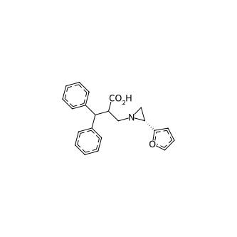 O=C(O)C(CN1C[C@@H]1c1ccco1)C(c1ccccc1)c1ccccc1